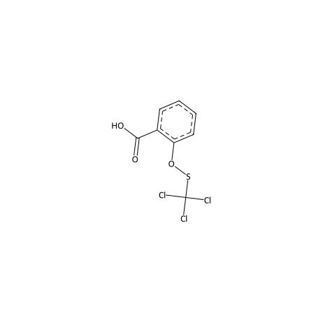 O=C(O)c1ccccc1OSC(Cl)(Cl)Cl